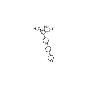 Cn1cc(C2=CCN(c3ccc(N4CCOCC4)cc3)CC2)c2cc(F)cnc21